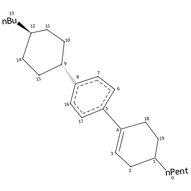 CCCCCC1CC=C(c2ccc([C@H]3CC[C@H](CCCC)CC3)cc2)CC1